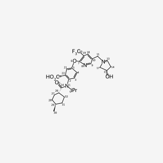 CC(C)N(c1ccc(Oc2ncc(CN3CCC(O)C3)cc2C(F)(F)F)cc1C(=O)O)C(=O)[C@H]1CC[C@H](C)CC1